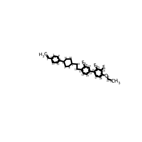 C=Cc1ccc(C2CCC(CCc3ccc(-c4ccc(OCC)c(F)c4F)cc3F)CC2)cc1